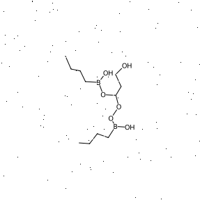 CCCCB(O)OOC(CCO)OB(O)CCCC